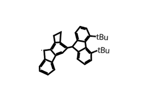 CC(C)(C)c1cccc2c1-c1c(cccc1C(C)(C)C)C2c1cc2c(c3c1CC3)[CH]c1ccccc1-2